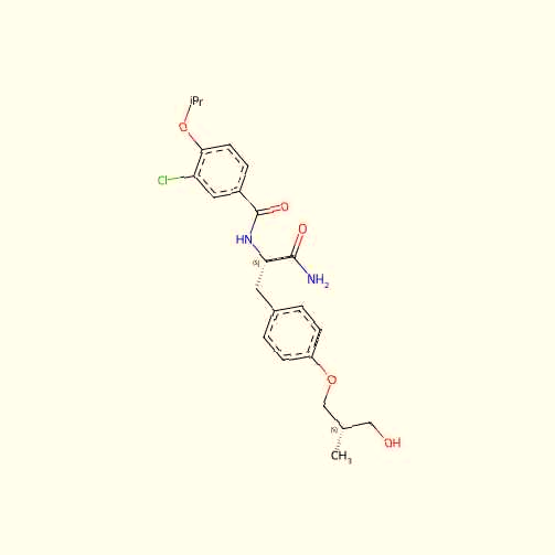 CC(C)Oc1ccc(C(=O)N[C@@H](Cc2ccc(OC[C@@H](C)CO)cc2)C(N)=O)cc1Cl